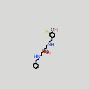 Br.Br.Oc1ccc(CCNCCCCCCNCCc2ccccc2)cc1F